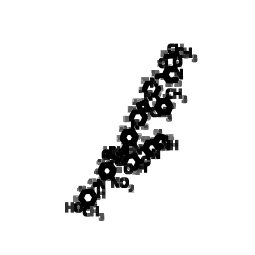 Cc1ccccc1[C@@H]1CN(Cc2ccnc3c2OCC(C)(C)O3)CCN1C1CC2(CCN(c3ccc(C(=O)NS(=O)(=O)c4ccc(NC[C@H]5CC[C@](C)(O)CC5)c([N+](=O)[O-])c4)c(N4c5cc6cc[nH]c6nc5O[C@H]5COCC[C@@H]54)c3)CC2)C1C